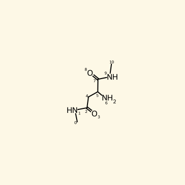 CNC(=O)CC(N)C(=O)NC